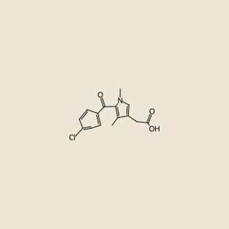 Cc1c(CC(=O)O)cn(C)c1C(=O)c1ccc(Cl)cc1